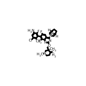 C=C1CCN(C)C[C@@]1(C)COc1nc(N2C[C@H]3CC[C@@H](C2)N3)c2cc(F)c(-c3c(F)c(N)cc(Cl)c3C(F)(F)F)c(F)c2n1